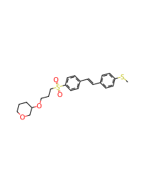 CSc1ccc(C=Cc2ccc(S(=O)(=O)CCCOC3CCCOC3)cc2)cc1